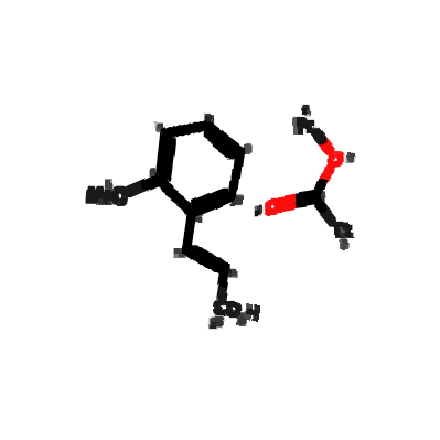 CCC(=O)OC(C)C.COc1ccccc1/C=C/C(=O)O